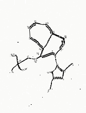 CC1=CC(C)=C(c2ccc3ccccc3c2OCC(C)(C)C)C1